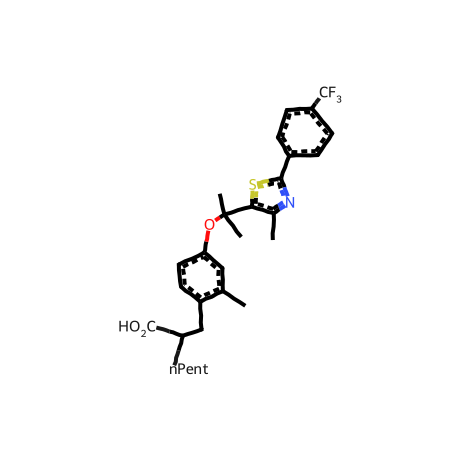 CCCCCC(Cc1ccc(OC(C)(C)c2sc(-c3ccc(C(F)(F)F)cc3)nc2C)cc1C)C(=O)O